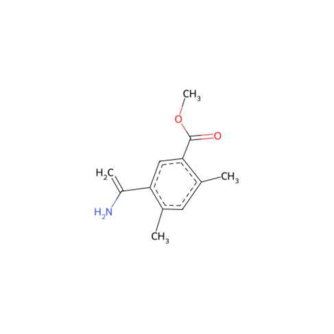 C=C(N)c1cc(C(=O)OC)c(C)cc1C